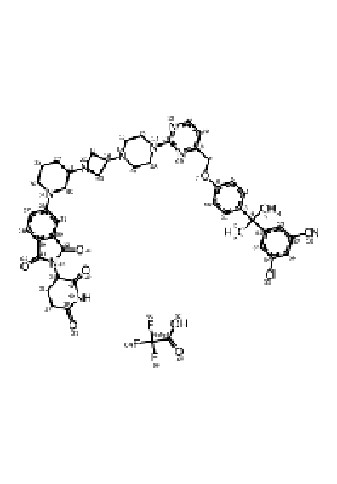 CC(C)(c1ccc(OCc2ccnc(N3CCN(C4CN(C5CCCN(c6ccc7c(c6)C(=O)N(C6CCC(=O)NC6=O)C7=O)C5)C4)CC3)n2)cc1)c1cc(Cl)cc(C#N)c1.O=C(O)C(F)(F)F